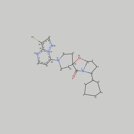 O=C1N2C(CCC2C2CCCCC2)OC12CCN(c1ccnc3c(F)cnn13)CC2